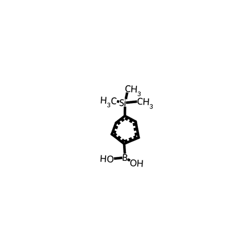 C[Si](C)(C)c1ccc(B(O)O)cc1